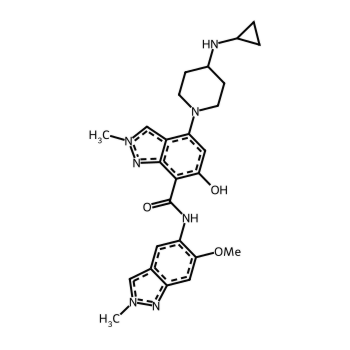 COc1cc2nn(C)cc2cc1NC(=O)c1c(O)cc(N2CCC(NC3CC3)CC2)c2cn(C)nc12